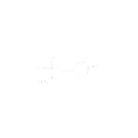 CC(C)(C)C(O)(COc1cc(Cl)c(Cl)cc1Cl)C(N)=O